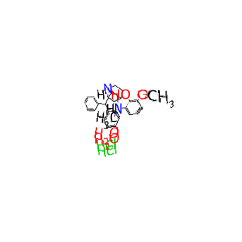 COc1cccc(N(C)[C@@H]2C3CCN(CC3)[C@@H]2C(c2ccccc2)c2ccccc2)c1O.Cl.Cl.O.O